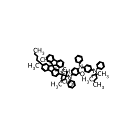 CCCCC(C)(C)c1ccc2c(c1)C1(c3ccccc3-c3ccccc31)c1cc(C(C)(CC)C(CC)(CCC)N(c3ccccc3)c3ccc4c(c3)Oc3cc(N(c5ccccc5)C(C)(CC)CCC)ccc3N4c3ccccc3)ccc1-2